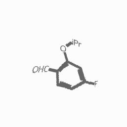 CC(C)Oc1cc(F)ccc1C=O